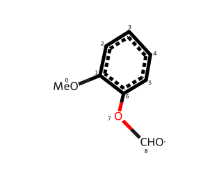 COc1ccccc1O[C]=O